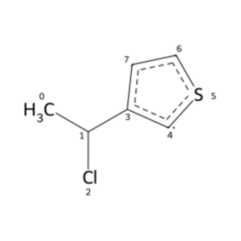 CC(Cl)c1[c]scc1